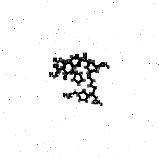 CCC1CCC(N(CC)CCCOc2cc(C)cc(Nc3ncc4c(C)c(C(C)=O)c(=O)n(C5CCCC5)c4n3)c2)C1